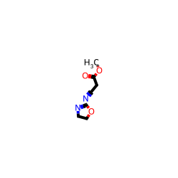 C1=NCCO1.COC(=O)CC#N